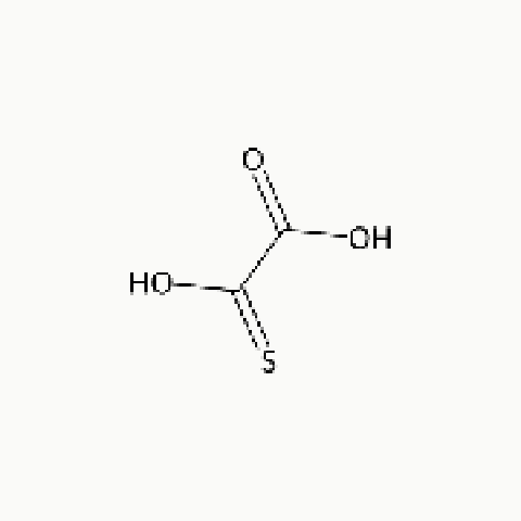 O=C(O)C(O)=S